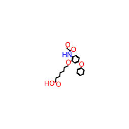 O=CC(=O)Nc1ccc(Oc2ccccc2)cc1OCCCCCCC(=O)O